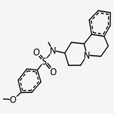 COc1ccc(S(=O)(=O)N(C)C2CCN3CCc4ccccc4C3C2)cc1